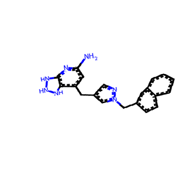 Nc1cc(Cc2cnn(Cc3ccc4ccccc4c3)c2)c2c(n1)NNN2